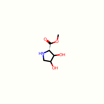 COC(=O)[C@H]1NCC(O)C1O